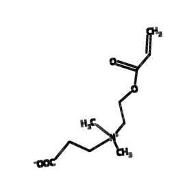 C=CC(=O)OCC[N+](C)(C)CCC(=O)[O-]